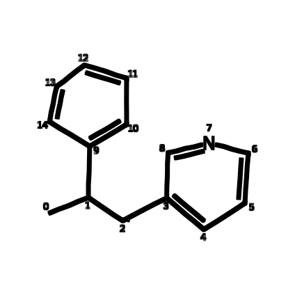 CC([CH]c1cccnc1)c1ccccc1